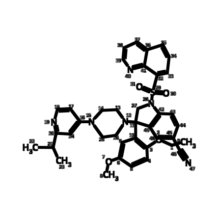 CCOc1ccc(OC)cc1C1(N2CCN(c3ccnc(C(C)C)c3)CC2)CN(S(=O)(=O)c2cccc3cccnc23)c2ccc(C#N)cc21